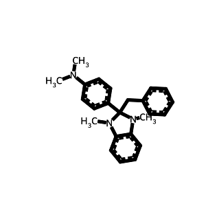 CN(C)c1ccc(C2(Cc3ccccc3)N(C)c3ccccc3N2C)cc1